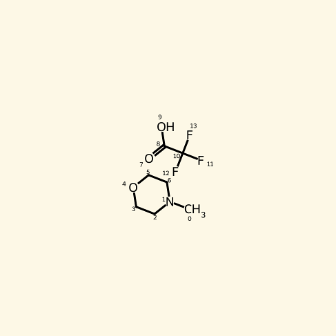 CN1CCOCC1.O=C(O)C(F)(F)F